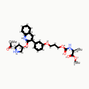 CCCCOC(=O)[C@@H](NC(=O)OCCCOc1cccc(-c2cc3ccccc3nc2O[C@H]2CN[C@H](C(=O)OC)C2)c1)C(C)(C)C